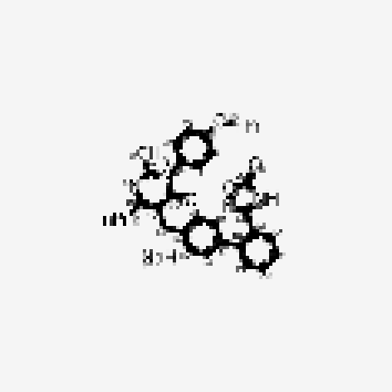 CCCOc1ccc(-n2c(C)nc(CCC)c(Cc3ccc(-c4ccccc4-c4noc(=O)[nH]4)cc3)c2=O)cc1.[NaH]